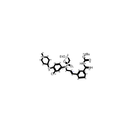 CCOC(=O)CS(=O)(=O)N(C/C=C/c1cccc(C(=N)NC(=O)OC(C)(C)C)c1)c1ccc(OC2CCN(C)CC2)c(Cl)c1